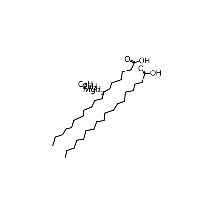 CCCCCCCCCCCCCCCCCC(=O)O.CCCCCCCCCCCCCCCCCC(=O)O.[CaH2].[CaH2].[MgH2]